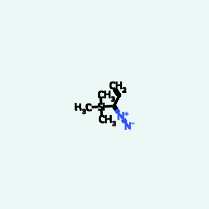 C=CC(=[N+]=[N-])[Si](C)(C)C